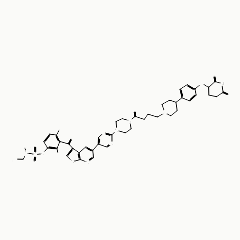 CCN(C)S(=O)(=O)Nc1ccc(F)c(C(=O)c2c[nH]c3ncc(-c4cnc(N5CCN(C(=O)CCCN6CCC(c7ccc(NC8CCC(=O)NC8=O)cc7)CC6)CC5)nc4)cc23)c1F